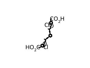 C/C(C#Cc1cccc(C#C/C(C)=C/COc2ccc(CC(=O)O)cc2Cl)c1)=C\COc1ccc(CC(=O)O)cc1Cl